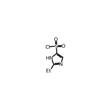 CCc1ncc(S(=O)(=O)Cl)[nH]1